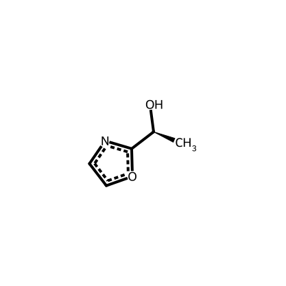 C[C@H](O)c1ncco1